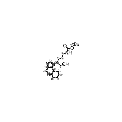 CC(C)(C)OC(=O)NCCC[C@@H](CO)n1cnc2cnc3ccccc3c21